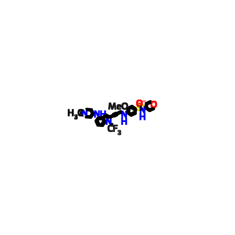 COc1cc([S+]([O-])NC2CCOCC2)ccc1NCC#Cc1cc2c(NC3CCN(C)CC3)cccc2n1CC(F)(F)F